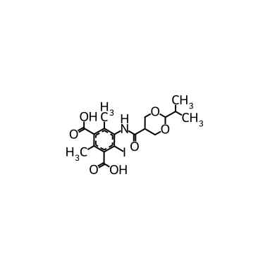 Cc1c(NC(=O)C2COC(C(C)C)OC2)c(I)c(C(=O)O)c(C)c1C(=O)O